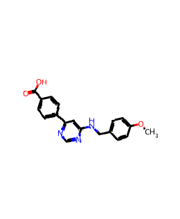 COc1ccc(CNc2cc(-c3ccc(C(=O)O)cc3)ncn2)cc1